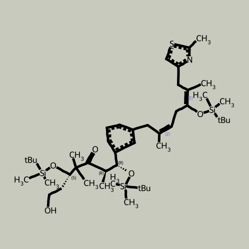 C/C(=C/C/C(O[Si](C)(C)C(C)(C)C)=C(/C)Cc1csc(C)n1)Cc1cccc([C@H](O[Si](C)(C)C(C)(C)C)[C@@H](C)C(=O)C(C)(C)[C@H](CCO)O[Si](C)(C)C(C)(C)C)c1